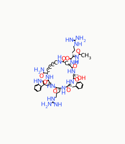 CC(=O)N[C@@H](CCCNC(=N)N)C(=O)N[C@H]1CC(=O)NCCCCC(C(N)=O)NC(=O)[C@H](Cc2c[nH]c3ccccc23)NC(=O)[C@H](CCCNC(=N)N)NC(=O)[C@@H](Cc2ccccc2)NC(=O)[C@@H](CO)NC1=O